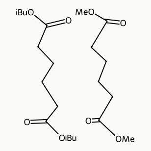 CC(C)COC(=O)CCCCC(=O)OCC(C)C.COC(=O)CCCCC(=O)OC